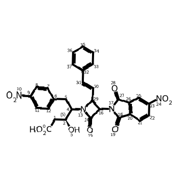 O=C(O)C[C@H](O)C(Cc1ccc([N+](=O)[O-])cc1)N1C(=O)C(N2C(=O)c3ccc([N+](=O)[O-])cc3C2=O)C1C=Cc1ccccc1